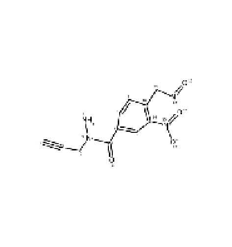 C#CCN(N)C(=O)c1ccc(CN=O)c([N+](=O)[O-])c1